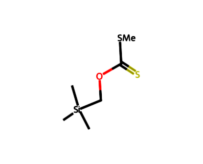 CSC(=S)OC[Si](C)(C)C